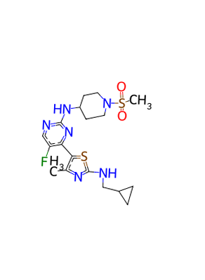 Cc1nc(NCC2CC2)sc1-c1nc(NC2CCN(S(C)(=O)=O)CC2)ncc1F